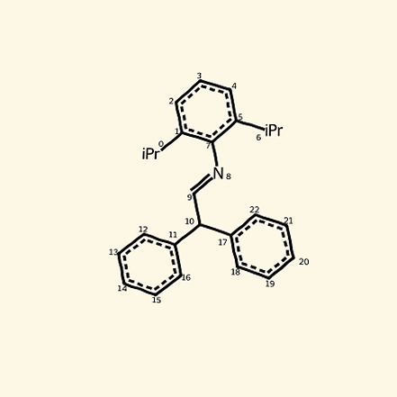 CC(C)c1cccc(C(C)C)c1N=CC(c1ccccc1)c1ccccc1